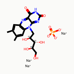 Cc1cc2nc3c(=O)[nH]c(=O)nc-3n(C[C@H](O)[C@H](O)[C@H](O)CO)c2cc1C.O=P([O-])([O-])[O-].[Na+].[Na+].[Na+]